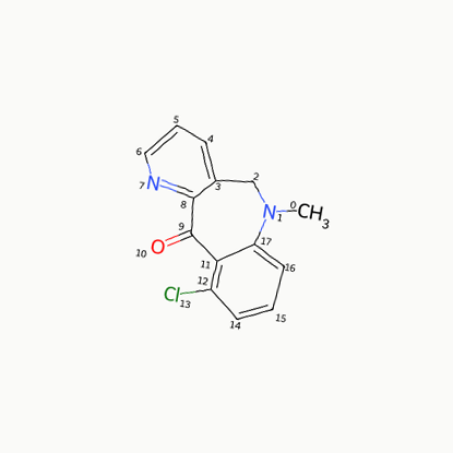 CN1Cc2cccnc2C(=O)c2c(Cl)cccc21